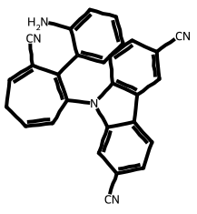 N#CC1=CCC=CC(n2c3ccc(C#N)cc3c3ccc(C#N)cc32)=C1c1ccccc1N